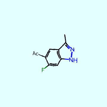 CC(=O)c1cc2c(C)n[nH]c2cc1F